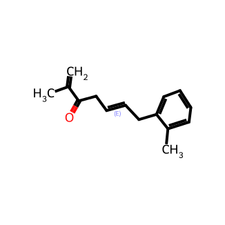 C=C(C)C(=O)C/C=C/Cc1ccccc1C